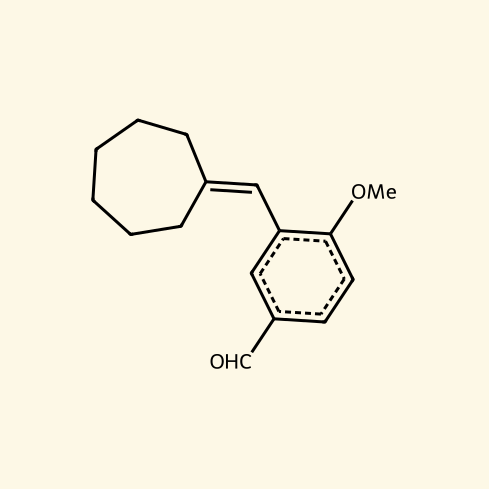 COc1ccc(C=O)cc1C=C1CCCCCC1